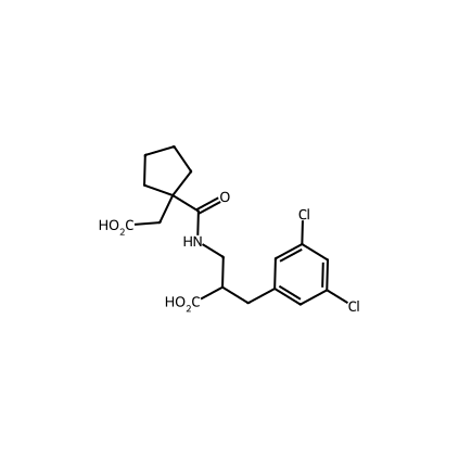 O=C(O)CC1(C(=O)NCC(Cc2cc(Cl)cc(Cl)c2)C(=O)O)CCCC1